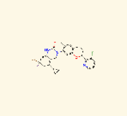 Cc1cc2c(cc1N1CC3=C(C4CC4)CC(S)(I)C=C3NC1=O)OC(c1ncccc1F)CC2